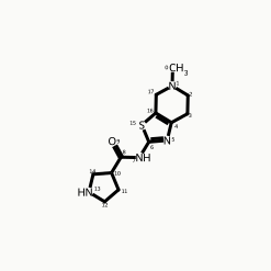 CN1CCc2nc(NC(=O)C3CCNC3)sc2C1